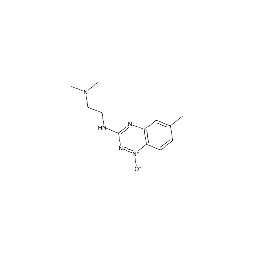 Cc1ccc2c(c1)nc(NCCN(C)C)n[n+]2[O-]